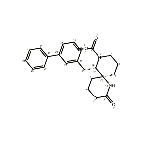 COC(=O)N1CCC[C@]2(CCOC(=O)N2)[C@@H]1Cc1cccc(-c2ccccc2)c1